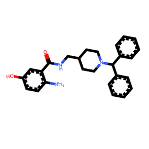 Nc1ccc(O)cc1C(=O)NCC1CCN(C(c2ccccc2)c2ccccc2)CC1